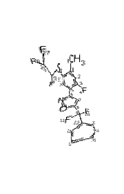 Cc1cc(F)c(-c2cc(C(F)(F)c3ccccc3)on2)cc1SC(F)C(F)F